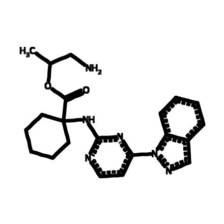 CC(CN)OC(=O)C1(Nc2nccc(-n3ncc4ccccc43)n2)CCCCC1